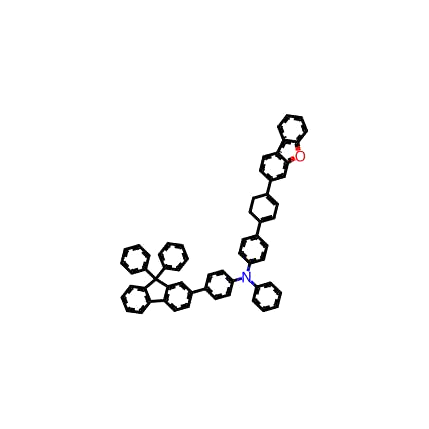 C1=C(c2ccc(N(c3ccccc3)c3ccc(-c4ccc5c(c4)C(c4ccccc4)(c4ccccc4)c4ccccc4-5)cc3)cc2)CCC(c2ccc3c(c2)oc2ccccc23)=C1